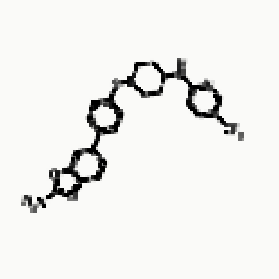 Nc1nc2ccc(-c3ccc(SN4CCC(Nc5ccc(C(F)(F)F)cn5)CC4)cc3)cc2o1